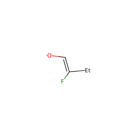 CCC(F)=C[O]